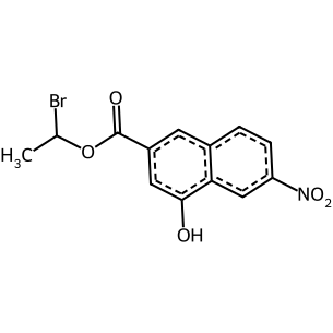 CC(Br)OC(=O)c1cc(O)c2cc([N+](=O)[O-])ccc2c1